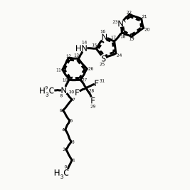 CCCCCCCCN(C)c1ccc(Nc2nc(-c3ccccn3)cs2)cc1C(F)(F)F